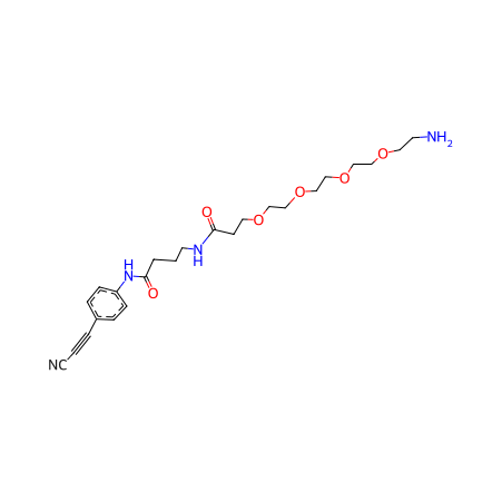 N#CC#Cc1ccc(NC(=O)CCCNC(=O)CCOCCOCCOCCOCCN)cc1